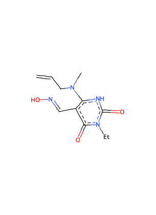 C=CCN(C)c1[nH]c(=O)n(CC)c(=O)c1C=NO